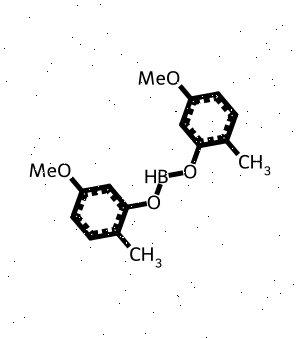 COc1ccc(C)c(OBOc2cc(OC)ccc2C)c1